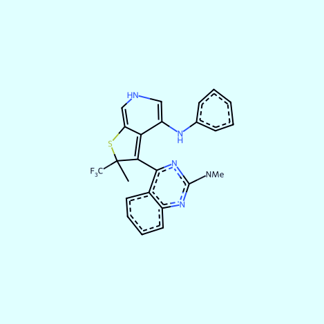 CNc1nc(C2=C3C(Nc4ccccc4)=CNC=C3SC2(C)C(F)(F)F)c2ccccc2n1